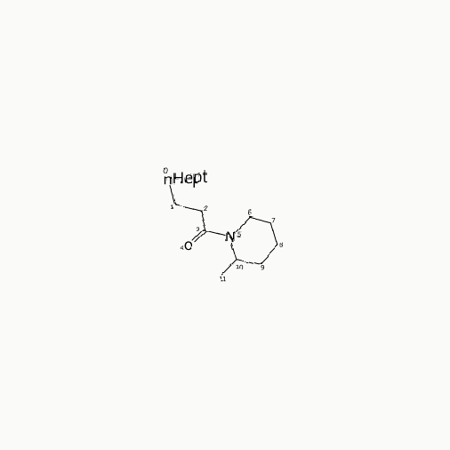 CCCCCCCCCC(=O)N1CCCCC1C